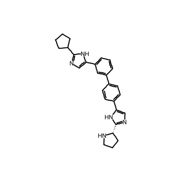 c1cc(-c2ccc(-c3cnc([C@@H]4CCCN4)[nH]3)cc2)cc(-c2cnc(C3CCCC3)[nH]2)c1